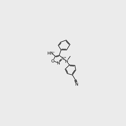 CN(c1ccc(C#N)cc1)[n+]1noc([NH-])c1-c1ccccc1